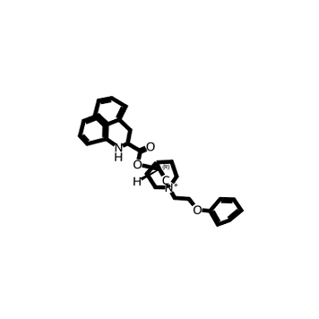 O=C(O[C@H]1C[N+]2(CCOc3ccccc3)CCC1CC2)C(Cc1ccccc1)Nc1ccccc1